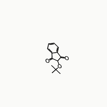 CC(C)(C)OC1C(=O)c2ccccc2C1=O